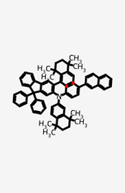 CC1(C)CCC(C)(C)c2cc(N(c3ccc(-c4ccc5ccccc5c4)cc3)c3cc4c(cc3-c3cccc5c3C(C)(C)CCC5(C)C)-c3ccccc3C4(c3ccccc3)c3ccccc3)ccc21